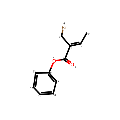 CC=C(CBr)C(=O)Oc1ccccc1